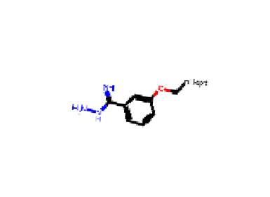 CCCCCCCCOc1cccc(C(=N)NN)c1